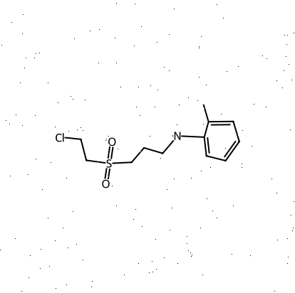 Cc1ccccc1[N]CCCS(=O)(=O)CCCl